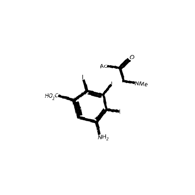 CNCC(=O)C(C)=O.Nc1cc(C(=O)O)c(I)c(I)c1I